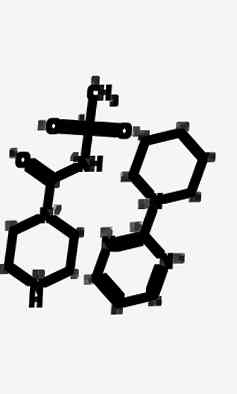 CS(=O)(=O)NC(=O)N1CCNCC1.c1cnc(N2CCCCC2)nc1